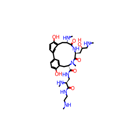 CNCCNC(=O)[C@H](CNC(=O)[C@@H]1Cc2cc(ccc2O)-c2ccc(O)c(c2)C[C@H](NC)C(=O)N[C@@H](C[C@@H](O)CNC)C(=O)N1C)NC